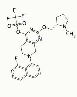 CN1CCC[C@H]1COc1nc2c(c(OS(=O)(=O)C(F)(F)F)n1)CCN(c1cccc3cccc(F)c13)C2